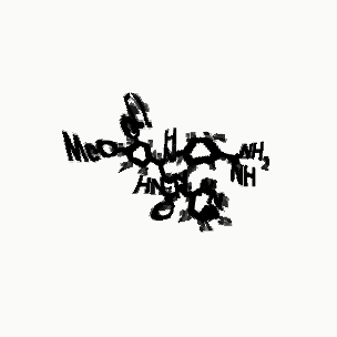 CCOc1cc(C(Nc2ccc(C(=N)N)cc2)c2nn(-c3cccnn3)c(=O)[nH]2)ccc1OC